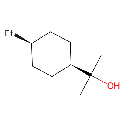 CC[C@H]1CC[C@@H](C(C)(C)O)CC1